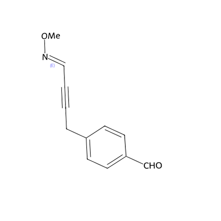 CO/N=C/C#CCc1ccc(C=O)cc1